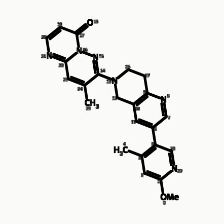 COc1cc(C)c(-c2cnc3c(c2)CN(c2nn4c(=O)ccnc4cc2C)CC3)cn1